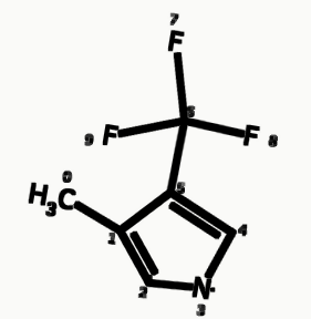 CC1=[C][N]C=C1C(F)(F)F